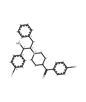 O=C(c1ccc(Cl)cc1)C1CCN(C(Cc2ccccc2)C(O)c2ccc(F)cc2)CC1